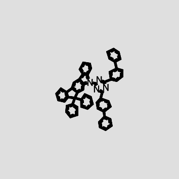 c1ccc(-c2ccc(-c3nc(-c4cccc(-c5ccccc5)c4)nc(-n4c5ccccc5c5cc6c(cc54)C(c4ccccc4)(c4ccccc4)c4ccccc4-6)n3)cc2)cc1